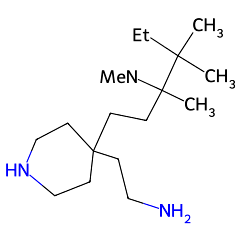 CCC(C)(C)C(C)(CCC1(CCN)CCNCC1)NC